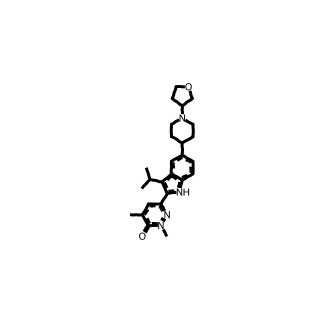 Cc1cc(-c2[nH]c3ccc(C4CCN(C5CCOC5)CC4)cc3c2C(C)C)nn(C)c1=O